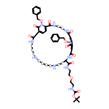 CC(C)(C)OC(=O)NCCOCCNC(=O)C1CCNCCCCNCCCNC(=O)c2ccc(n(OCc3ccccc3)c2=O)C(=O)NCCNC(=O)c2ccc(c(=O)n2OCc2ccccc2)C(=O)N1